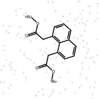 CCCCOC(=O)Cc1cccc2cccc(CC(=O)OC(C)(C)C)c12